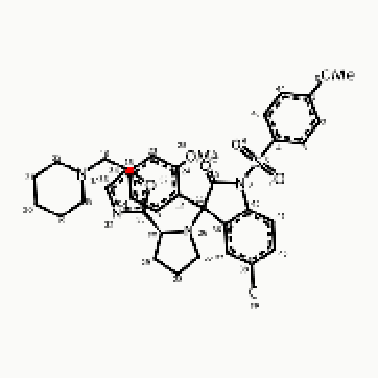 COc1ccc(S(=O)(=O)N2C(=O)C(c3ccc(CN4CCCCC4)cc3OC)(N3CCC[C@H]3c3ncco3)c3cc(Cl)ccc32)cc1